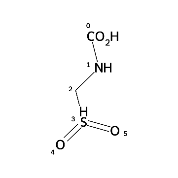 O=C(O)NC[SH](=O)=O